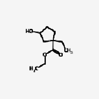 CCOC(=O)C1(CC)CCC(O)C1